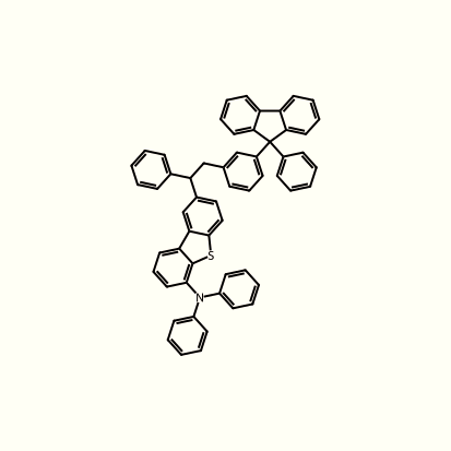 c1ccc(C(Cc2cccc(C3(c4ccccc4)c4ccccc4-c4ccccc43)c2)c2ccc3sc4c(N(c5ccccc5)c5ccccc5)cccc4c3c2)cc1